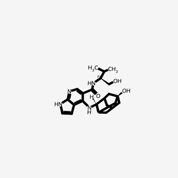 CC(C)[C@@H](CO)NC(=O)c1cnc2[nH]ccc2c1N[C@H]1C2CC3CC1C[C@@](O)(C3)C2